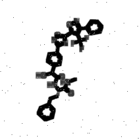 CNC(=O)[C@H](CCc1ccccc1)NC(=O)C(O)c1ccc(-c2noc(-c3onc(-c4ccccc4)c3C(F)(F)F)n2)cc1